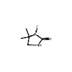 CC1(C)CNC(=O)N1Cl